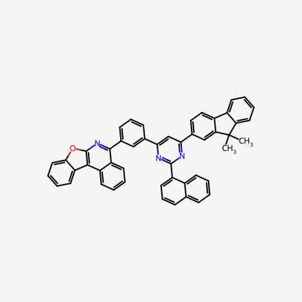 CC1(C)c2ccccc2-c2ccc(-c3cc(-c4cccc(-c5nc6oc7ccccc7c6c6ccccc56)c4)nc(-c4cccc5ccccc45)n3)cc21